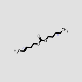 C/C=C/CCOC(=O)OCC/C=C/C